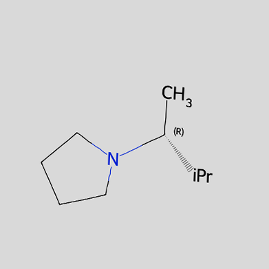 CC(C)[C@@H](C)N1CCCC1